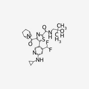 CC(C)(O)CNC(=O)c1nc(C(=O)N2C3CCC2CC3)c(-c2cnc(NC3CC3)cc2C(F)F)s1